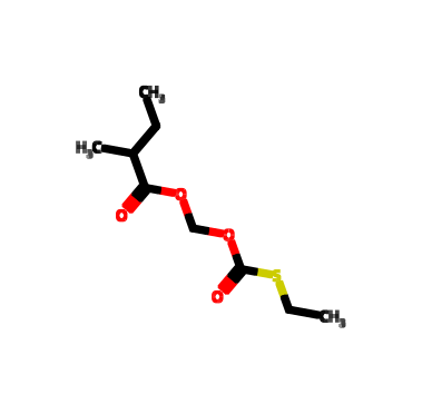 CCSC(=O)OCOC(=O)C(C)CC